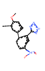 COc1ccc(-c2ccc([N+](=O)[O-])cc2-c2nn[nH]n2)cc1C